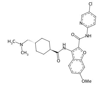 COc1ccc2c(NC(=O)[C@H]3CC[C@H](CN(C)C)CC3)c(C(=O)Nc3ccc(Cl)cn3)oc2c1